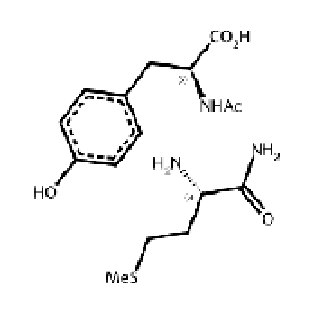 CC(=O)N[C@@H](Cc1ccc(O)cc1)C(=O)O.CSCC[C@H](N)C(N)=O